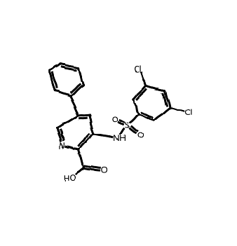 O=C(O)c1ncc(-c2ccccc2)cc1NS(=O)(=O)c1cc(Cl)cc(Cl)c1